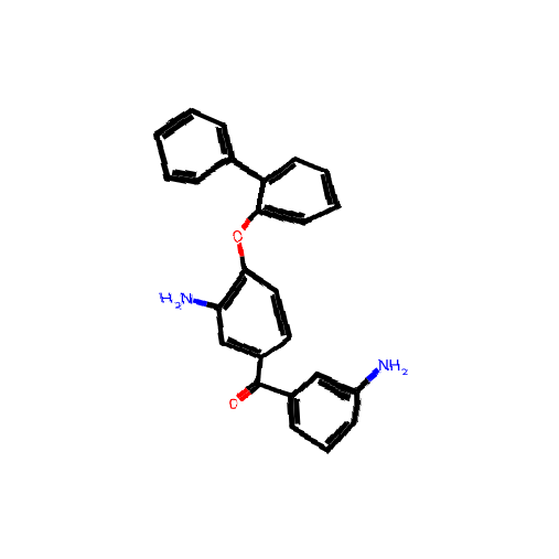 Nc1cccc(C(=O)c2ccc(Oc3ccccc3-c3ccccc3)c(N)c2)c1